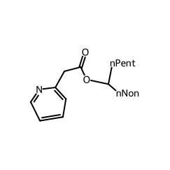 CCCCCCCCCC(CCCCC)OC(=O)Cc1ccccn1